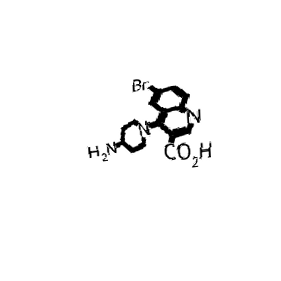 NC1CCN(c2c(C(=O)O)cnc3ccc(Br)cc23)CC1